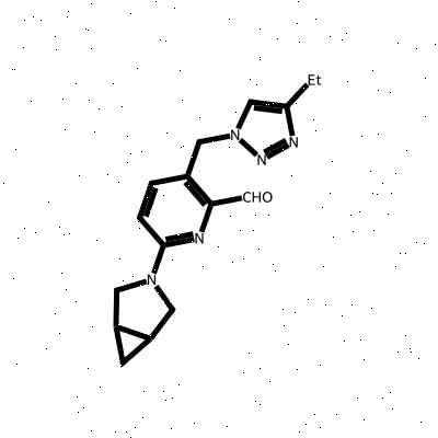 CCc1cn(Cc2ccc(N3CC4CC4C3)nc2C=O)nn1